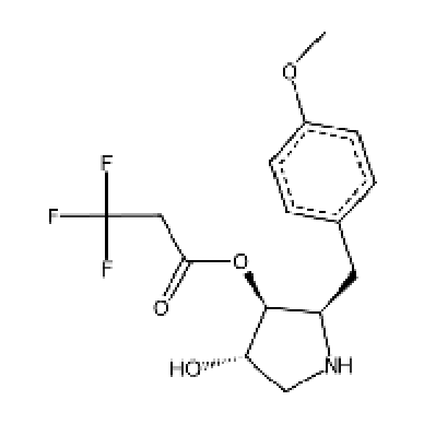 COc1ccc(C[C@H]2NC[C@H](O)[C@H]2OC(=O)CC(F)(F)F)cc1